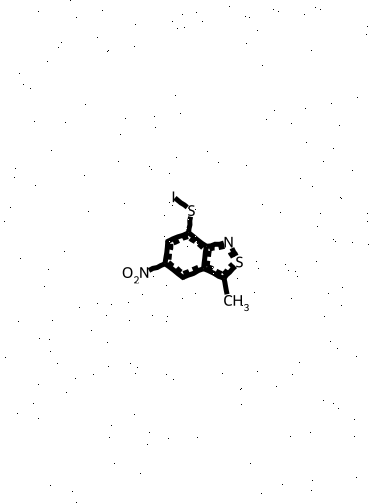 Cc1snc2c(SI)cc([N+](=O)[O-])cc12